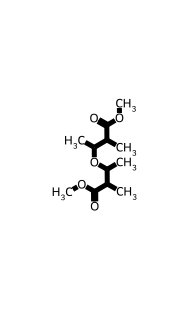 COC(=O)C(C)C(C)OC(C)C(C)C(=O)OC